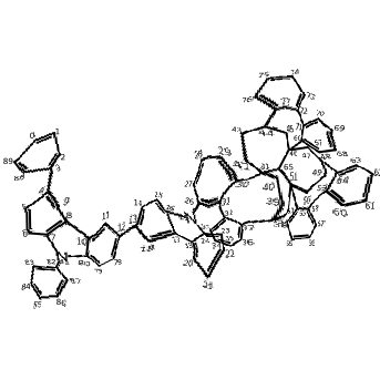 c1ccc(-c2ccc3c(c2)c2cc(-c4ccc5c(c4)c4ccccc4n5-c4cccc5c4-c4ccccc4C4CCC56CCC5CC7(CC8CCC(C4)(c4ccccc4-c4ccccc48)C76)c4ccccc4-c4ccccc45)ccc2n3-c2ccccc2)cc1